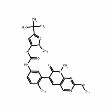 CNc1ncc2cc(-c3cc(NC(=O)Nc4cc(C(C)(C)C)nn4C)ccc3C)c(=O)n(C)c2n1